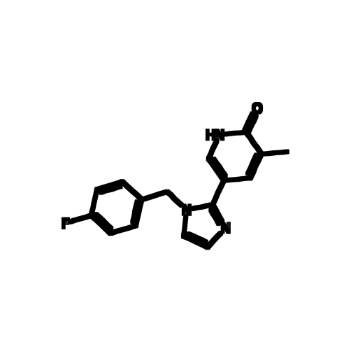 Cc1cc(-c2nccn2Cc2ccc(F)cc2)c[nH]c1=O